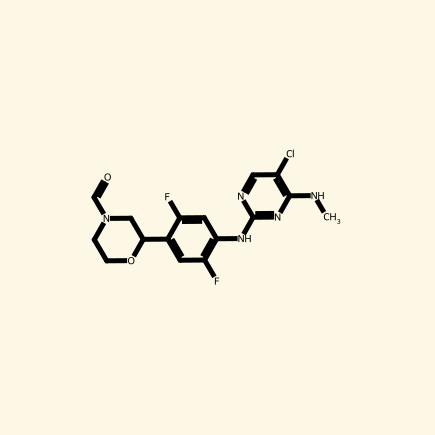 CNc1nc(Nc2cc(F)c(C3CN(C=O)CCO3)cc2F)ncc1Cl